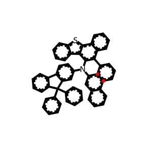 c1ccc(-c2c(N(c3ccc4c(c3)C(c3ccccc3)(c3ccccc3)c3ccccc3-4)c3ccc4ccccc4c3)c3c4ccccc4sc3c3ccccc23)cc1